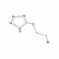 BrCCOc1nnn[nH]1